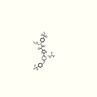 CCOC[C@H](NC(=O)c1cnc(N2CCN(Cc3ccc(C(F)(F)F)cc3)C[C@H]2COC(F)F)s1)c1ccc(S(=O)(=O)CC)cc1